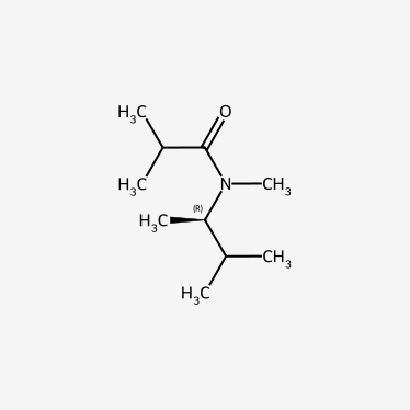 CC(C)C(=O)N(C)[C@H](C)C(C)C